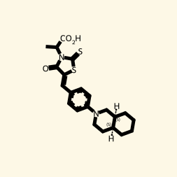 CC(C(=O)O)N1C(=O)C(=Cc2ccc(N3CC[C@@H]4CCCC[C@@H]4C3)cc2)SC1=S